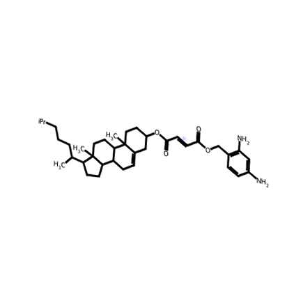 CC(C)CCCC(C)C1CCC2C3CC=C4CC(OC(=O)/C=C/C(=O)OCc5ccc(N)cc5N)CCC4(C)C3CCC12C